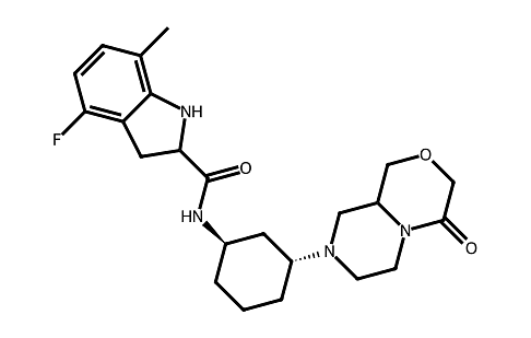 Cc1ccc(F)c2c1NC(C(=O)N[C@@H]1CCC[C@@H](N3CCN4C(=O)COCC4C3)C1)C2